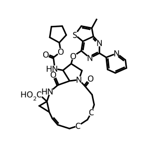 Cc1csc2c(OC3CN4C(=O)CCCCCCC=CC5CC5(C(=O)O)NC(=O)C4C3NC(=O)OC3CCCC3)nc(-c3ccccn3)nc12